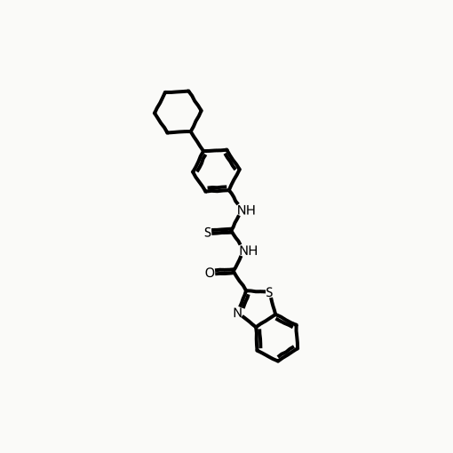 O=C(NC(=S)Nc1ccc(C2CCCCC2)cc1)c1nc2ccccc2s1